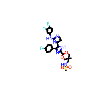 CC1(CNS(C)(=O)=O)COC(c2nc(-c3ccc(F)cc3)c(-c3ccnc(Nc4ccc(F)c(F)c4)n3)[nH]2)OC1